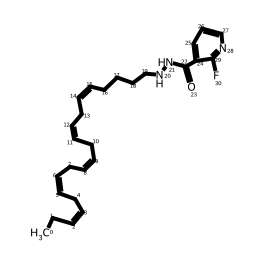 CC/C=C\C/C=C\C/C=C\C/C=C\C/C=C\CCCCNNC(=O)c1cccnc1F